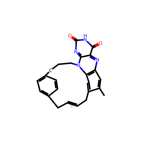 Cc1cc2nc3c(=O)[nH]c(=O)nc-3n3c2cc1C/C=C/Cc1ccc(cc1)CCC3